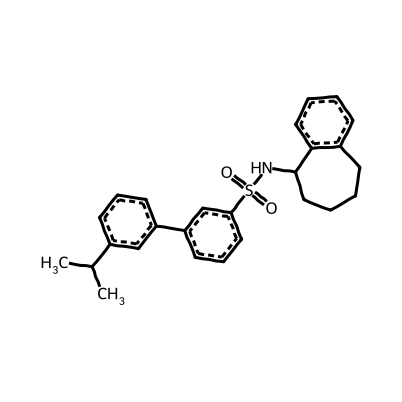 CC(C)c1cccc(-c2cccc(S(=O)(=O)NC3CCCCc4ccccc43)c2)c1